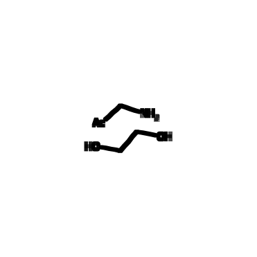 CC(=O)CN.OCCO